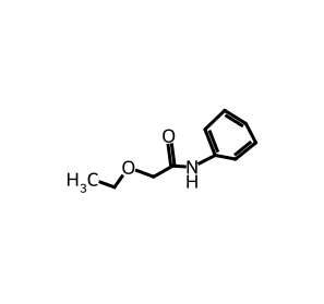 CCOCC(=O)Nc1ccccc1